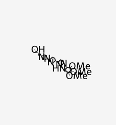 COc1cc(Nc2nccc(-c3ccc(N4CCN(CCCO)CC4)nc3)n2)cc(OC)c1OC